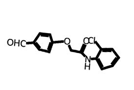 O=Cc1ccc(OCC(=O)Nc2ccccc2Cl)cc1